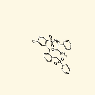 NC(=O)[C@H](NS(=O)(=O)c1ccc(Cl)cc1Cc1ccccc1CS(=O)(=O)c1ccccc1)c1ccccc1